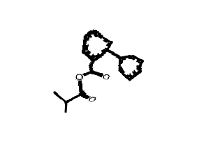 CC(C)C(=O)OC(=O)c1ccccc1-c1ccccc1